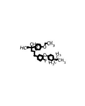 C#CC(C)(CCCc1ccc(F)c(Oc2ccc(C(C)(C)C)cc2)c1)c1ccc(OCC)cc1